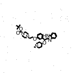 CN1CCC(OC(c2cccc(OCCN3CCN(C(=O)OC(C)(C)C)CC3)c2)c2nc3ccccc3[nH]2)CC1